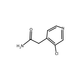 NC(=O)Cc1ccncc1Cl